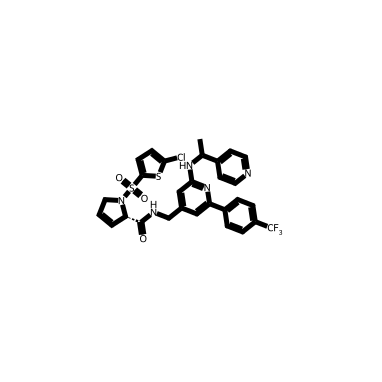 CC(Nc1cc(CNC(=O)[C@@H]2C=CCN2S(=O)(=O)c2ccc(Cl)s2)cc(-c2ccc(C(F)(F)F)cc2)n1)c1ccncc1